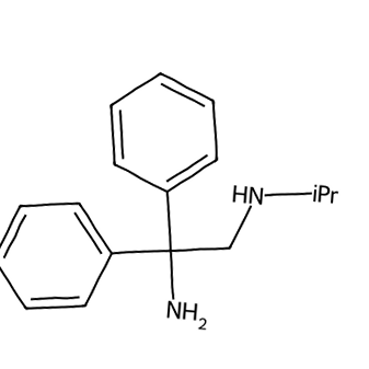 CC(C)NCC(N)(c1ccccc1)c1ccccc1